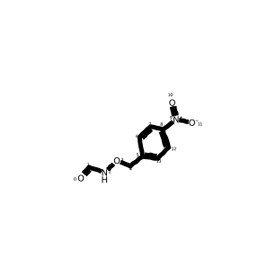 O=[C]NOCc1ccc([N+](=O)[O-])cc1